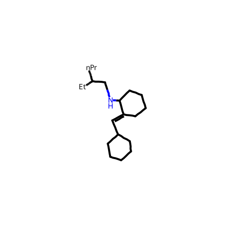 CCCC(CC)CNC1CCCCC1=CC1CCCCC1